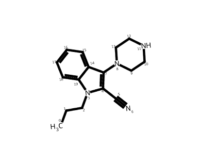 CCCn1c(C#N)c(N2CCNCC2)c2ccccc21